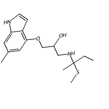 CCC(C)(NCC(O)COc1cc(C)cc2[nH]ccc12)SC